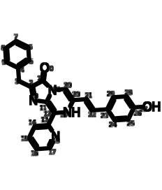 O=c1c(Cc2ccccc2)nc2c(-c3ccccn3)[nH]c(C=Cc3ccc(O)cc3)cn1-2